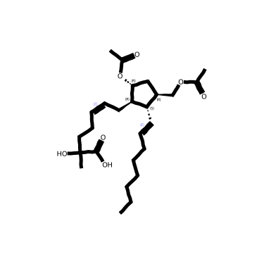 CCCCCC/C=C/[C@H]1[C@H](COC(C)=O)C[C@@H](OC(C)=O)[C@@H]1C/C=C\CCC(C)(O)C(=O)O